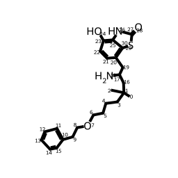 CC(C)(CCCCOCCc1ccccc1)CC(N)Cc1ccc(O)c2[nH]c(=O)sc12